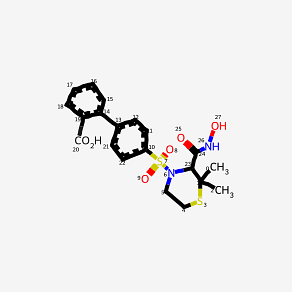 CC1(C)SCCN(S(=O)(=O)c2ccc(-c3ccccc3C(=O)O)cc2)C1C(=O)NO